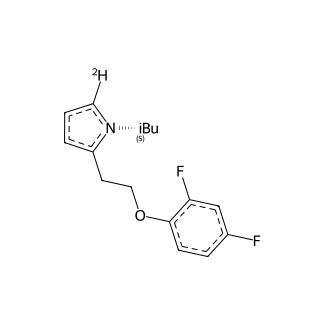 [2H]c1ccc(CCOc2ccc(F)cc2F)n1[C@@H](C)CC